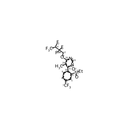 CCS(=O)(=O)c1cc(C(F)(F)F)ccc1-c1ncnc(OCC(F)(F)C(F)C(F)(F)F)c1C